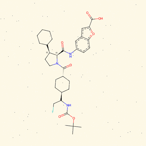 CC(C)(C)OC(=O)NC(CF)[C@H]1CC[C@H](C(=O)N2CC[C@@H](C3CCCCC3)[C@H]2C(=O)Nc2ccc3oc(C(=O)O)cc3c2)CC1